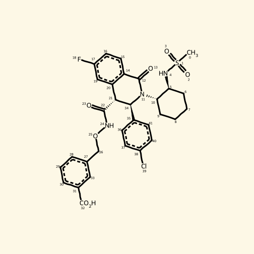 CS(=O)(=O)N[C@H]1CCCC[C@@H]1N1C(=O)c2ccc(F)cc2[C@@H](C(=O)NOCc2cccc(C(=O)O)c2)[C@@H]1c1ccc(Cl)cc1